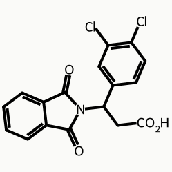 O=C(O)CC(c1ccc(Cl)c(Cl)c1)N1C(=O)c2ccccc2C1=O